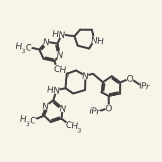 Cc1cc(C)nc(NC2CCN(Cc3cc(OC(C)C)cc(OC(C)C)c3)CC2)n1.Cc1cc(C)nc(NC2CCNCC2)n1